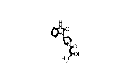 CC(O)CC(=O)N1CCC(n2c(=O)[nH]c3ccccc32)CC1